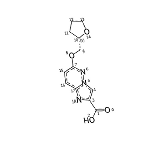 O=C(O)c1cn2nc(OC[C@@H]3CCCO3)ccc2n1